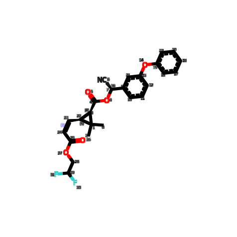 CC1(C)[C@H](C(=O)O[C@@H](C#N)c2cccc(Oc3ccccc3)c2)[C@@H]1/C=C\C(=O)OCC(F)F